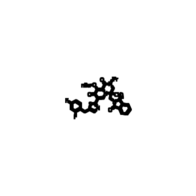 CCCCOc1c2n(cc(-c3ncc(Cc4ccc(F)cc4F)s3)c1=O)C(C)(CN1C(=O)c3ccccc3C1=O)CN(C(C)C)C2=O